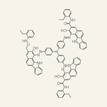 CCc1ccccc1NOCc1cc2ccc3c4ccccc4[nH]c3c2c(N=Nc2ccc(N(c3ccc(N=Nc4c(O)c(C(=O)Nc5ccccc5CC)cc5ccc6c7ccccc7[nH]c6c45)cc3)c3ccc(N=Nc4c(O)c(C(=O)Nc5ccccc5CC)cc5ccc6c7ccccc7[nH]c6c45)cc3)cc2)c1O